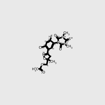 CC(=O)OCC1(C)CC(c2cc(-n3c(=O)n(C)c(=S)n(C)c3=O)c(F)cc2Cl)=NO1